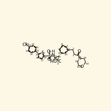 O=C(CCc1cccc([C@@H]2CC2(NS(=O)(=O)c2ccc(-c3ccc(Cl)cc3)s2)C(=O)O)c1)N1CCOCC1